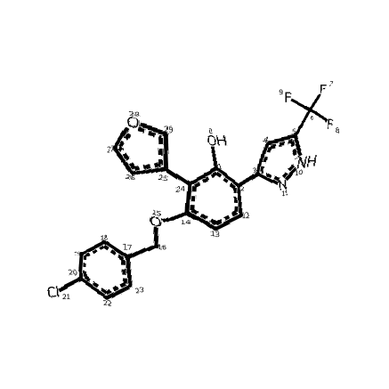 Oc1c(-c2cc(C(F)(F)F)[nH]n2)ccc(OCc2ccc(Cl)cc2)c1-c1ccoc1